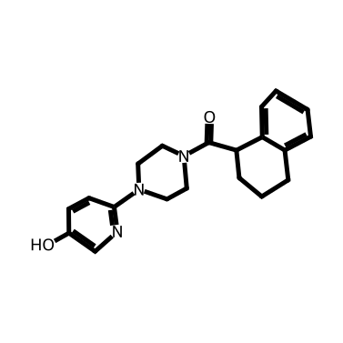 O=C(C1CCCc2ccccc21)N1CCN(c2ccc(O)cn2)CC1